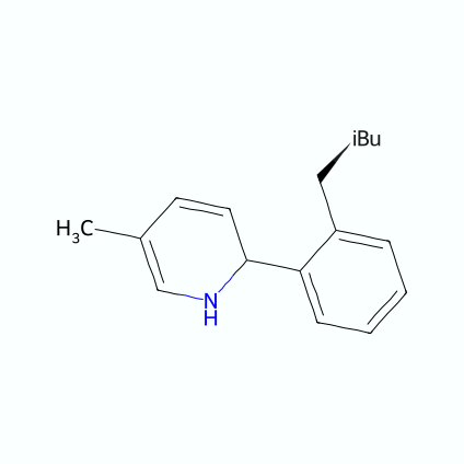 CC[C@H](C)Cc1ccccc1C1C=CC(C)=CN1